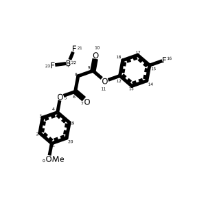 COc1ccc(OC(=O)CC(=O)Oc2ccc(F)cc2)cc1.F[B]F